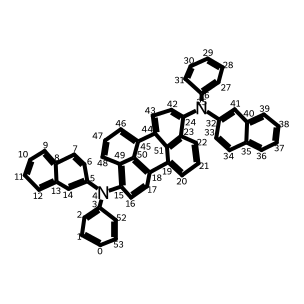 c1ccc(N(c2ccc3ccccc3c2)c2ccc3c4cccc5c(N(c6ccccc6)c6ccc7ccccc7c6)ccc(c6cccc2c63)c54)cc1